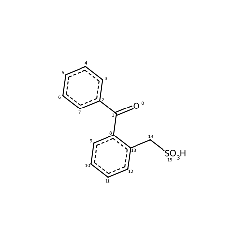 O=C(c1ccccc1)c1ccccc1CS(=O)(=O)O